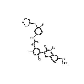 CCn1c(=O)c(-c2cc(NC(=O)Nc3ccc(F)c(CN4CCOCC4)c3)c(F)cc2Cl)cc2cnc(NC=O)cc21